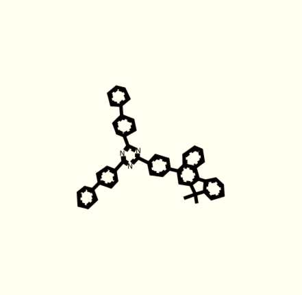 CC1(C)c2ccccc2-c2c1cc(-c1ccc(-c3nc(-c4ccc(-c5ccccc5)cc4)nc(-c4ccc(-c5ccccc5)cc4)n3)cc1)c1ccccc21